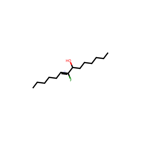 CCCCC/C=C(\F)C(O)CCCCCC